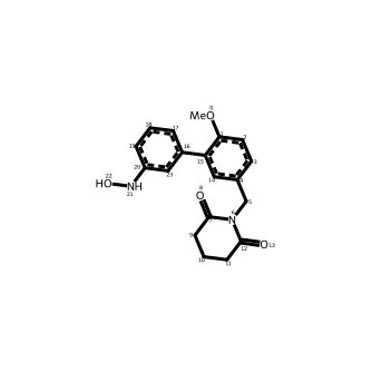 COc1ccc(CN2C(=O)CCCC2=O)cc1-c1cccc(NO)c1